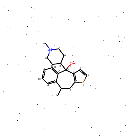 CC1Cc2sccc2C(O)(C2CCN(C)CC2)c2ccccc21